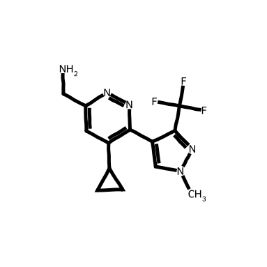 Cn1cc(-c2nnc(CN)cc2C2CC2)c(C(F)(F)F)n1